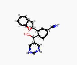 N#Cc1ccc(C(O)c2cncnc2)c(-c2cc3ccccc3o2)c1